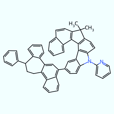 CC1(C)c2ccc3ccccc3c2-c2c1ccc1c2c2cc(-c3cc4c(c5ccccc35)CCC(c3ccccc3)c3ccccc3-4)ccc2n1-c1ccccn1